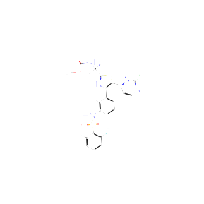 CC(C)(C)OC(=O)NC(C)(C)c1nc(-c2cccc(NS(=O)(=O)c3c(F)cccc3F)c2F)c(-c2ccnc(Cl)n2)s1